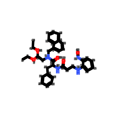 CCOC(CN(Cc1cccc2ccccc12)C(=O)[C@H](Cc1ccccc1)NC(=O)CCNc1ccccc1N=O)OCC